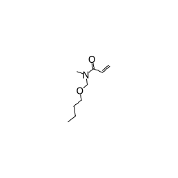 C=CC(=O)N(C)COCCCC